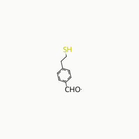 O=[C]c1ccc(CCS)cc1